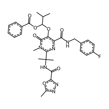 Cc1nnc(C(=O)NC(C)(C)c2nc(C(=O)NCc3ccc(F)cc3)c(OC(OC(=O)c3ccccc3)C(C)C)c(=O)n2C)o1